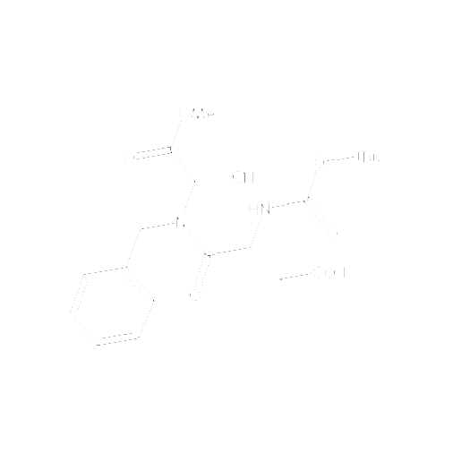 COC(=O)[C@H](C)N(Cc1ccccc1)C(=O)[C@@H](CC(=O)O)NC(=O)OC(C)(C)C